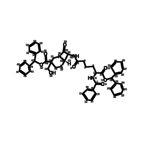 O=C(CCCC(NC(=O)c1ccccc1)C(=O)OC(c1ccccc1)c1ccccc1)NC1C(=O)N2CC(CO)(C(=O)OC(c3ccccc3)c3ccccc3)CS[C@H]12